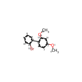 COc1ccc(-c2ccccc2Br)c(OC)c1